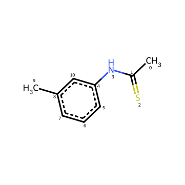 CC(=S)Nc1cccc(C)c1